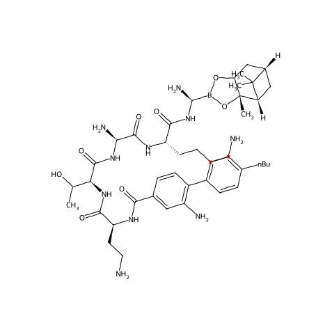 CCCCc1ccc(-c2ccc(C(=O)N[C@@H](CCN)C(=O)N[C@H](C(=O)N[C@@H](N)C(=O)N[C@@H](CCCCN)C(=O)N[C@@H](N)B3OC4C[C@@H]5C[C@@H](C5(C)C)[C@]4(C)O3)C(C)O)cc2N)cc1